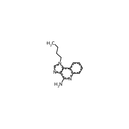 [CH2]CCCn1cnc2c(N)nc3ccccc3c21